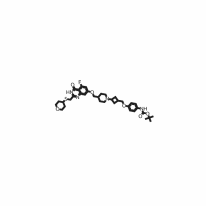 CC(C)(C)OC(=O)Nc1ccc(OCC2CC(N3CCC(COc4cc(F)c5c(=O)[nH]c(CSC6CCOCC6)nc5c4)CC3)C2)cc1